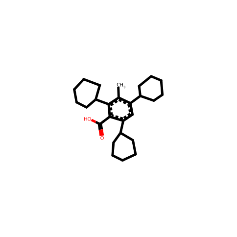 Cc1c(C2CCCCC2)cc(C2CCCCC2)c(C(=O)O)c1C1CCCCC1